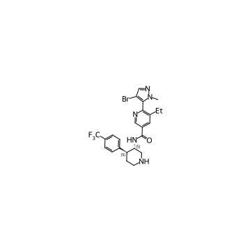 CCc1cc(C(=O)N[C@@H]2CNCC[C@H]2c2ccc(C(F)(F)F)cc2)cnc1-c1c(Br)cnn1C